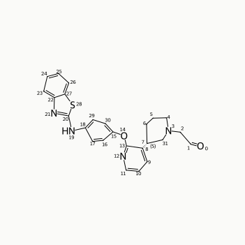 O=CCN1CCC[C@@H](c2cccnc2Oc2ccc(Nc3nc4ccccc4s3)cc2)C1